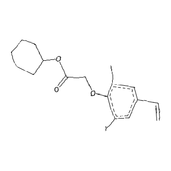 C=Cc1cc(I)c(OCC(=O)OC2CCCCC2)c(I)c1